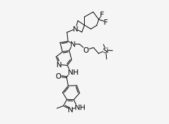 Cc1n[nH]c2ccc(C(=O)Nc3cc4c(cn3)cc(CN3CC5(CCC(F)(F)CC5)C3)n4COCC[Si](C)(C)C)cc12